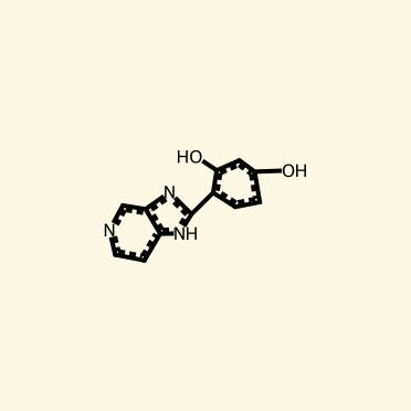 Oc1ccc(-c2nc3cnccc3[nH]2)c(O)c1